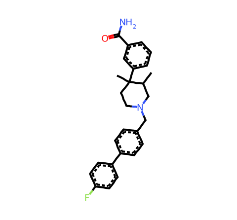 CC1CN(Cc2ccc(-c3ccc(F)cc3)cc2)CCC1(C)c1cccc(C(N)=O)c1